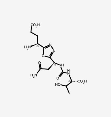 CC(O)[C@H](NC(=O)N[C@@H](CC(N)=O)c1nnc([C@@H](N)CCC(=O)O)o1)C(=O)O